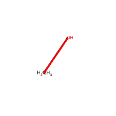 CC(C)CCCCCCCCCCCCCCCCCCCCCCCCCCCCCCCCCCCCCCCCCCCCCCCCCCCCCCCCCCCCCCCCCCCCCCCCCCCCCO